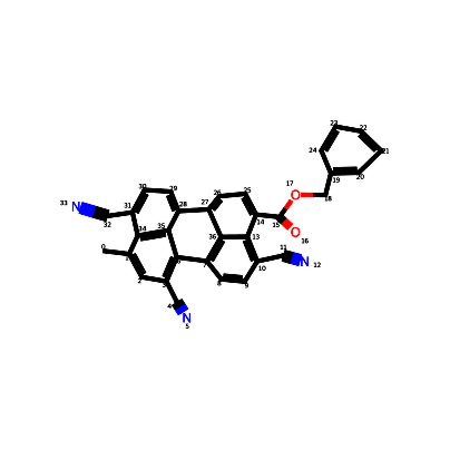 Cc1cc(C#N)c2c3ccc(C#N)c4c(C(=O)OCc5ccccc5)ccc(c5ccc(C#N)c1c52)c43